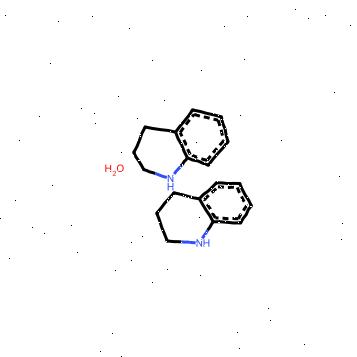 O.c1ccc2c(c1)CCCN2.c1ccc2c(c1)CCCN2